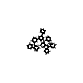 c1ccc(-c2cc(-c3cccc(-n4c5ccccc5c5ccccc54)c3)cc(N3c4ccncc4-c4c(-c5ccccc5)c5cccnc5n4-c4ccccc43)c2)cc1